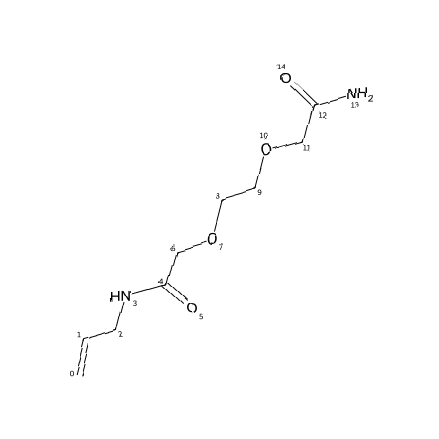 C=CCNC(=O)COCCOCC(N)=O